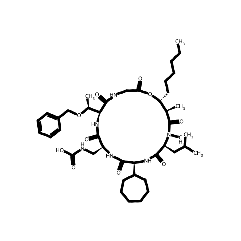 CCCCCC[C@H]1OC(=O)CNC(=O)[C@H]([C@H](C)OCc2ccccc2)NC(=O)[C@H](CNC(=O)O)NC(=O)[C@H](C2CCCCCC2)NC(=O)[C@H](CC(C)C)N(C)C(=O)[C@@H]1C